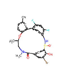 CC1CN(C)C(=O)c2cc(Br)c(O)c(c2)[S+]([O-])Nc2cc(c(F)cc2F)-c2cc(C#N)ccc2O1